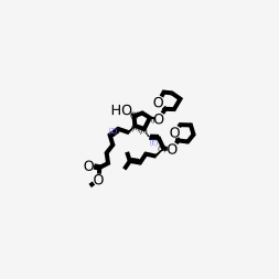 COC(=O)CCC/C=C\C[C@@H]1[C@@H](/C=C/[C@H](CCC=C(C)C)OC2CCCCO2)[C@H](OC2CCCCO2)C[C@H]1O